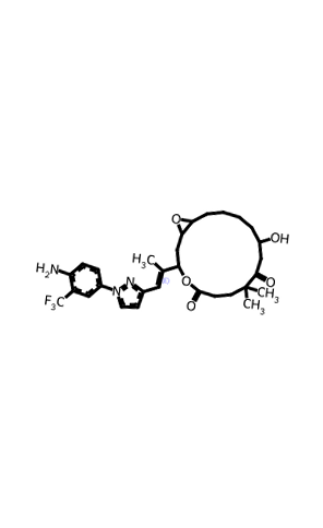 C/C(=C\c1ccn(-c2ccc(N)c(C(F)(F)F)c2)n1)C1CC2OC2CCCCC(O)CC(=O)C(C)(C)CCC(=O)O1